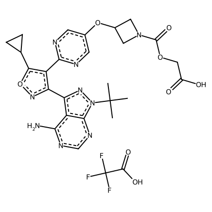 CC(C)(C)n1nc(-c2noc(C3CC3)c2-c2ncc(OC3CN(C(=O)OCC(=O)O)C3)cn2)c2c(N)ncnc21.O=C(O)C(F)(F)F